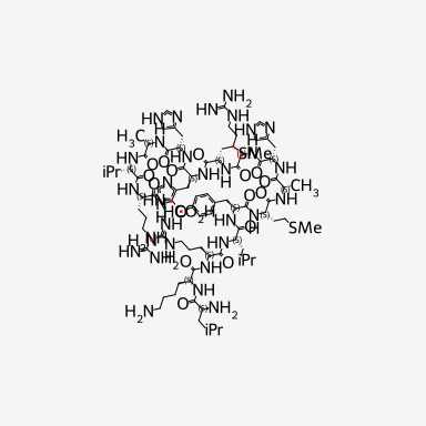 CSCC[C@H](NC(=O)[C@H](Cc1ccc(O)cc1)NC(=O)[C@H](CC(C)C)NC(=O)[C@H](CCCNC(=N)N)NC(=O)[C@H](CCCCN)NC(=O)[C@@H](N)CC(C)C)C(=O)N[C@@H](C)C(=O)N[C@@H](Cc1c[nH]cn1)C(=O)N[C@@H](CCCNC(=N)N)C(=O)N[C@@H](CCSC)C(=O)N[C@@H](Cc1c[nH]cn1)C(=O)N[C@@H](Cc1c[nH]cn1)C(=O)N[C@@H](C)C(=O)N[C@H](C(=O)N[C@@H](CCCNC(=N)N)C(=O)NCC(=O)O)C(C)C